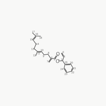 C=CC(OC(=O)C(=C)CC/C=C(\C)CCC=C(C)C)c1ccccc1